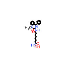 CN1C(=O)C(NC(=O)CCCCCCC(=O)NO)N=C(c2ccccc2)c2ccccc21